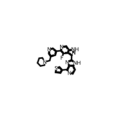 Fc1c(-c2cncc(CN3CCCCC3)c2)ncc2[nH]nc(-c3nc4c(-c5ccsc5)nccc4[nH]3)c12